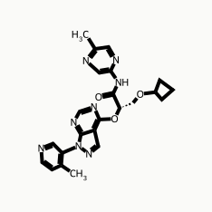 Cc1cnc(NC(=O)[C@H](COC2CCC2)Oc2ncnc3c2cnn3-c2cnccc2C)cn1